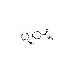 NC(=O)C1CCN(c2ccccc2N=O)CC1